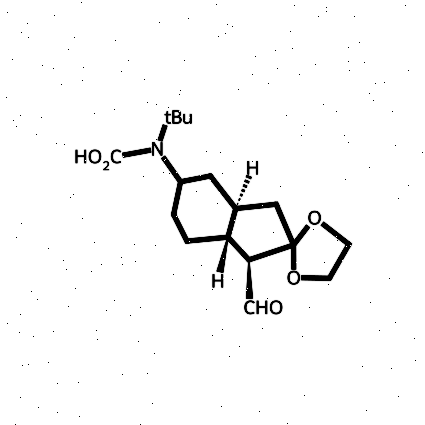 CC(C)(C)N(C(=O)O)C1CC[C@@H]2[C@@H](C1)CC1(OCCO1)[C@H]2C=O